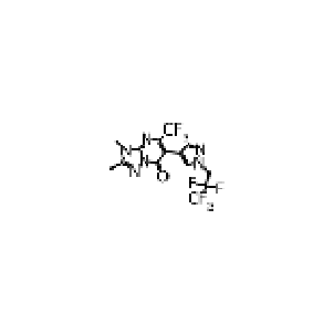 Cc1nn2c(=O)c(-c3cnn(CC(F)(F)C(F)(F)F)c3)c(C(F)(F)F)nc2n1C